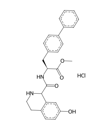 COC(=O)[C@H](Cc1ccc(-c2ccccc2)cc1)NC(=O)C1NCCc2ccc(O)cc21.Cl